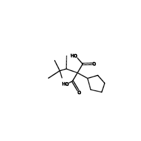 CC(C(C)(C)C)C(C(=O)O)(C(=O)O)C1CCCC1